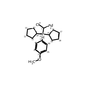 COc1ccc([PH]([CH](Cl)[Pd])(C2CCCC2)C2CCCC2)cc1